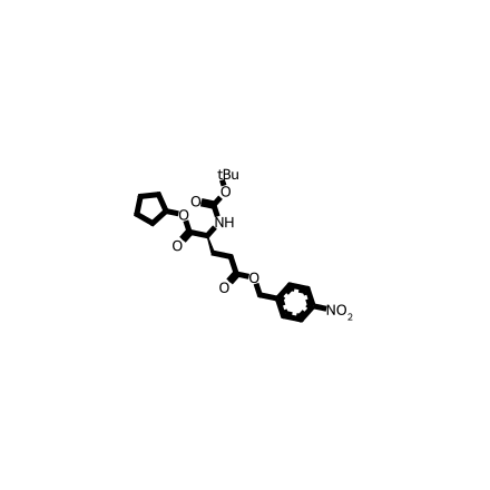 CC(C)(C)OC(=O)N[C@@H](CCC(=O)OCc1ccc([N+](=O)[O-])cc1)C(=O)OC1CCCC1